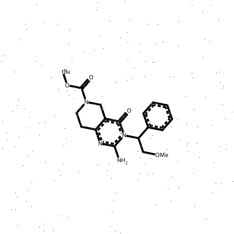 COCC(c1ccccc1)n1c(N)nc2c(c1=O)CN(C(=O)OC(C)(C)C)CC2